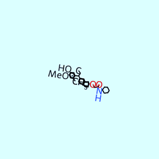 COc1ccc(C(CC(=O)O)c2ccc3ccc(OCC(=O)NC4CCCCC4)cc3c2)c(C)c1